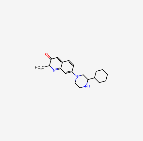 O=C(O)C1N=c2cc(N3CCNC(C4CCCCC4)C3)ccc2=CC1=O